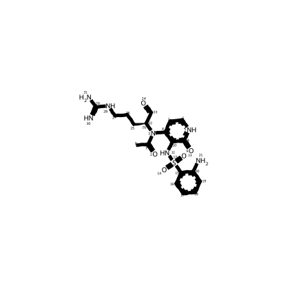 CC(=O)N(c1cc[nH]c(=O)c1NS(=O)(=O)c1ccccc1N)[C@H](C=O)CCCNC(=N)N